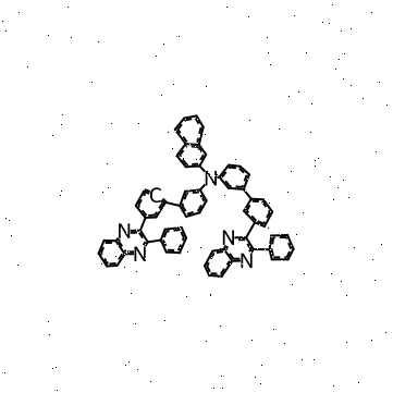 c1ccc(-c2nc3ccccc3nc2-c2cccc(-c3cccc(N(c4cccc(-c5cccc(-c6nc7ccccc7nc6-c6ccccc6)c5)c4)c4ccc5ccccc5c4)c3)c2)cc1